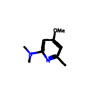 COc1cc(C)nc(N(C)C)c1